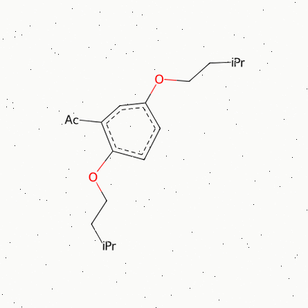 CC(=O)c1cc(OCCC(C)C)ccc1OCCC(C)C